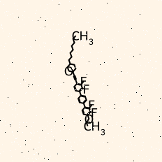 CCCCCCCCC1CCC(C#Cc2ccc(-c3ccc(-c4ccc(OCC)c(F)c4F)cc3)c(F)c2F)OC1